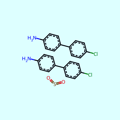 Nc1ccc(-c2ccc(Cl)cc2)cc1.Nc1ccc(-c2ccc(Cl)cc2)cc1.O=S=O